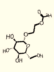 [2H]C(=O)OCCO[C@@H]1O[C@H](CO)[C@@H](O)[C@H](O)[C@H]1O